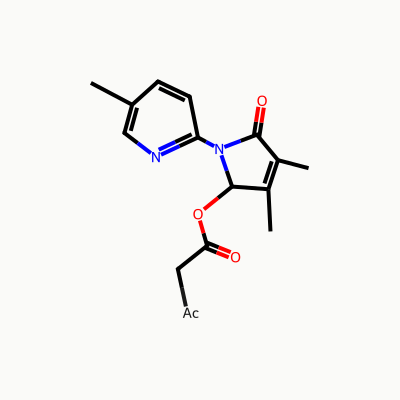 CC(=O)CC(=O)OC1C(C)=C(C)C(=O)N1c1ccc(C)cn1